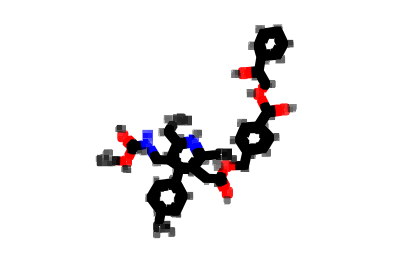 Cc1ccc(-c2c(CC(=O)OCc3ccc(C(=O)OCC(=O)c4ccccc4)cc3)c(C)nc(CC(C)(C)C)c2CNC(=O)OC(C)(C)C)cc1